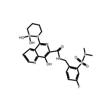 CN(C)S(=O)(=O)c1cc(F)ccc1CNC(=O)c1nc(N2CCCCS2(O)O)c2cccnc2c1O